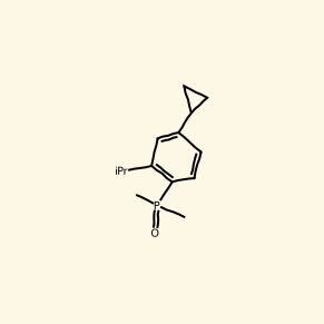 CC(C)c1cc(C2CC2)ccc1P(C)(C)=O